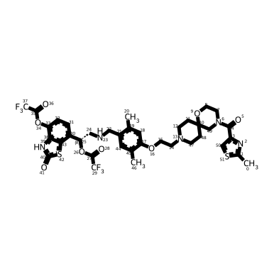 Cc1nc(C(=O)N2CCOC3(CCN(CCOc4cc(C)c(CNC[C@H](OC(=O)C(F)(F)F)c5ccc(OC(=O)C(F)(F)F)c6[nH]c(=O)sc56)cc4C)CC3)C2)cs1